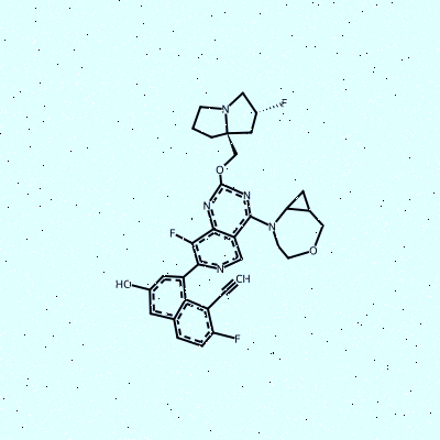 C#Cc1c(F)ccc2cc(O)cc(-c3ncc4c(N5CCOCC6CC65)nc(OC[C@@]56CCCN5C[C@H](F)C6)nc4c3F)c12